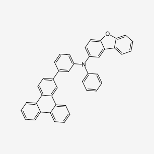 c1ccc(N(c2cccc(-c3ccc4c5ccccc5c5ccccc5c4c3)c2)c2ccc3oc4ccccc4c3c2)cc1